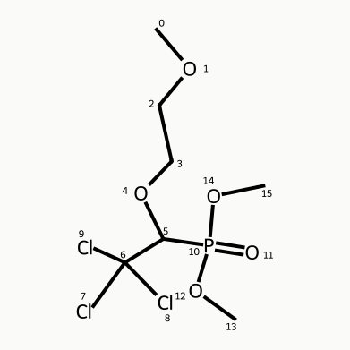 COCCOC(C(Cl)(Cl)Cl)P(=O)(OC)OC